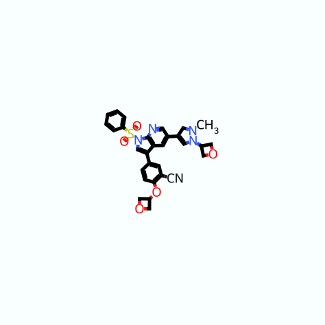 CN1CC(c2cnc3c(c2)c(-c2ccc(OC4COC4)c(C#N)c2)cn3S(=O)(=O)c2ccccc2)=CN1C1COC1